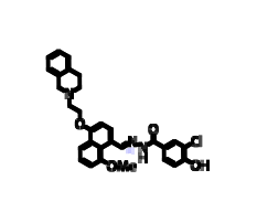 COc1cccc2c(OCCN3CCc4ccccc4C3)ccc(/C=N/NC(=O)c3ccc(O)c(Cl)c3)c12